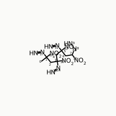 CC(CC(CC(CC(N=N)[N+](=O)[O-])(N=N)[N+](=O)[O-])(N=N)[N+](=O)[O-])(N=N)[N+](=O)[O-]